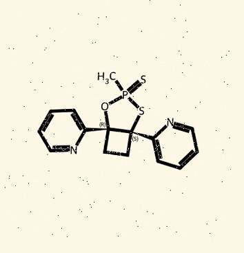 CP1(=S)O[C@@]2(c3ccccn3)CC[C@@]2(c2ccccn2)S1